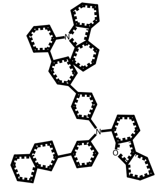 c1cc(-c2ccc3ccccc3c2)cc(N(c2ccc(-c3ccc(-c4ccccc4-n4c5ccccc5c5ccccc54)cc3)cc2)c2cccc3c2oc2ccccc23)c1